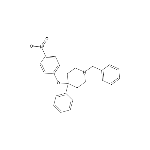 O=[N+]([O-])c1ccc(OC2(c3ccccc3)CCN(Cc3ccccc3)CC2)cc1